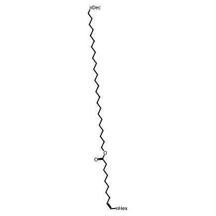 CCCCCC/C=C\CCCCCCCC(=O)OCCCCCCCCCCCCCCCCCCCCCCCCCCCCCCCCCCC